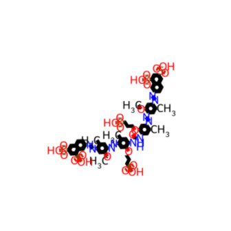 COc1cc(N=Nc2ccc3cc(S(=O)(=O)O)cc(S(=O)(=O)O)c3c2)c(C)cc1N=Nc1cc(OCCCS(=O)(=O)O)c(NC(=O)Nc2cc(C)c(N=Nc3cc(C)c(N=Nc4ccc5cc(S(=O)(=O)O)cc(S(=O)(=O)O)c5c4)cc3OC)cc2OCCCS(=O)(=O)O)cc1C